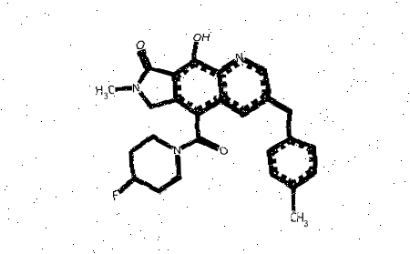 Cc1ccc(Cc2cnc3c(O)c4c(c(C(=O)N5CCC(F)CC5)c3c2)CN(C)C4=O)cc1